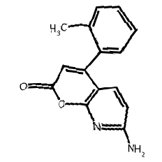 Cc1ccccc1-c1cc(=O)oc2nc(N)ccc12